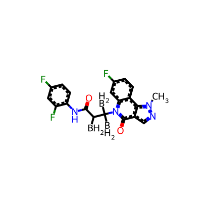 BC(C(=O)Nc1ccc(F)cc1F)C(B)(B)n1c(=O)c2cnn(C)c2c2ccc(F)cc21